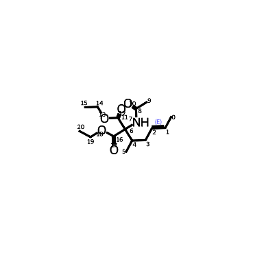 C/C=C/CC(C)C(NC(C)=O)(C(=O)OCC)C(=O)OCC